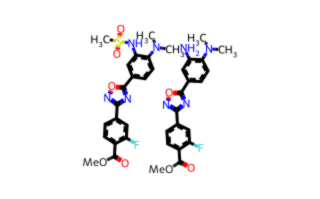 COC(=O)c1ccc(-c2noc(-c3ccc(N(C)C)c(N)c3)n2)cc1F.COC(=O)c1ccc(-c2noc(-c3ccc(N(C)C)c(NS(C)(=O)=O)c3)n2)cc1F